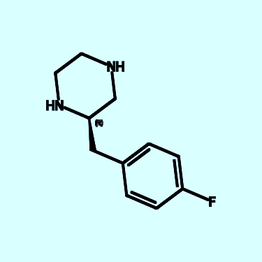 Fc1ccc(C[C@@H]2CNCCN2)cc1